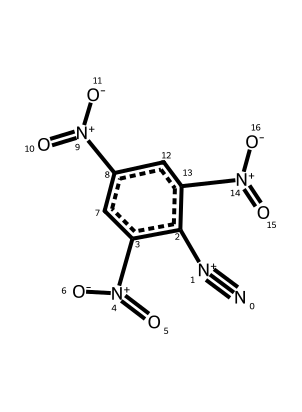 N#[N+]c1c([N+](=O)[O-])cc([N+](=O)[O-])cc1[N+](=O)[O-]